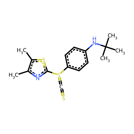 Cc1nc(S(=C=S)c2ccc(NC(C)(C)C)cc2)sc1C